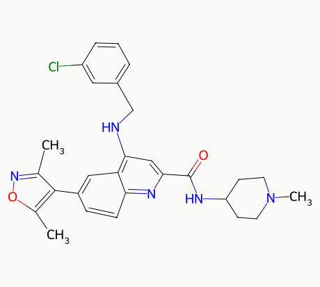 Cc1noc(C)c1-c1ccc2nc(C(=O)NC3CCN(C)CC3)cc(NCc3cccc(Cl)c3)c2c1